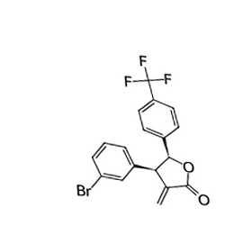 C=C1C(=O)O[C@H](c2ccc(C(F)(F)F)cc2)[C@@H]1c1cccc(Br)c1